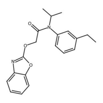 CCc1cccc(N(C(=O)COc2nc3ccccc3o2)C(C)C)c1